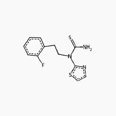 NC(=S)N(CCc1ccccc1F)c1nccs1